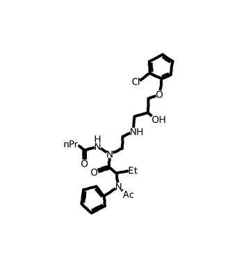 CCCC(=O)NN(CCNCC(O)COc1ccccc1Cl)C(=O)C(CC)N(C(C)=O)c1ccccc1